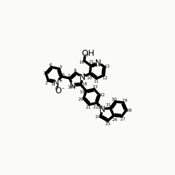 [O-][n+]1ccccc1-c1cn(-c2cccnc2CO)c(-c2ccc(-n3ccc4ccccc43)cc2)n1